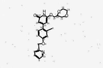 Cc1cc(OCc2ccccn2)ccc1-c1cc(OCC2COCCO2)[nH]c(=O)c1